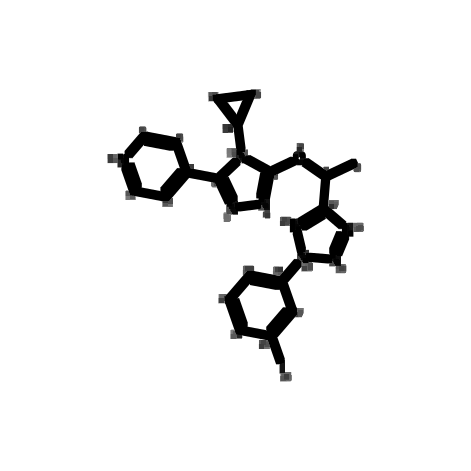 CC(Oc1nnc(-c2ccncc2)n1C1CC1)c1nnn(-c2cccc(I)c2)n1